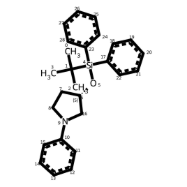 CC(C)(C)[Si](O[C@H]1CCN(c2ccccc2)C1)(c1ccccc1)c1ccccc1